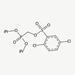 CC(C)OP(=O)(COS(=O)(=O)c1cc(Cl)ccc1Cl)OC(C)C